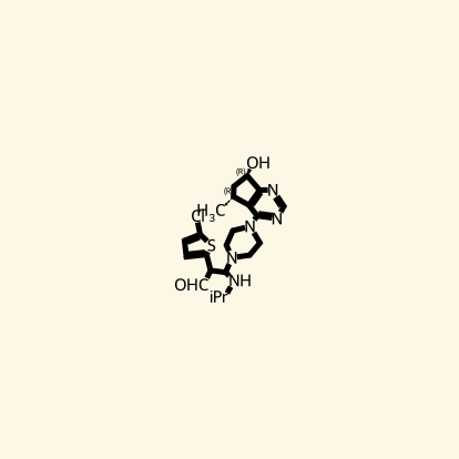 CC(C)NC(C(C=O)c1ccc(Cl)s1)N1CCN(c2ncnc3c2[C@H](C)C[C@H]3O)CC1